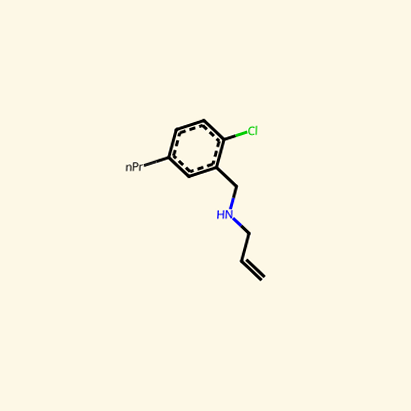 C=CCNCc1cc(CCC)ccc1Cl